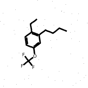 CCCCc1cc(OC(F)(F)F)ccc1CC